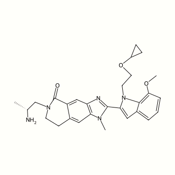 COc1cccc2cc(-c3nc4cc5c(cc4n3C)CCN(C[C@@H](C)N)C5=O)n(CCOC3CC3)c12